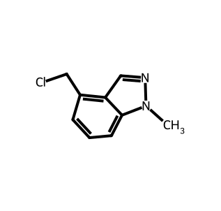 Cn1ncc2c(CCl)cccc21